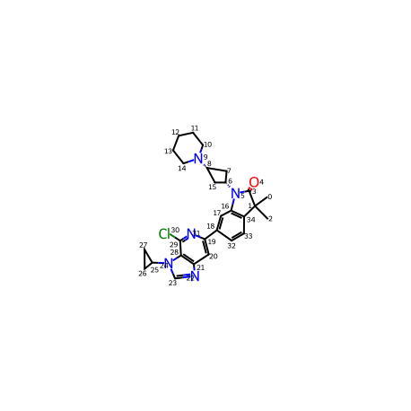 CC1(C)C(=O)N([C@H]2C[C@@H](N3CCCCC3)C2)c2cc(-c3cc4ncn(C5CC5)c4c(Cl)n3)ccc21